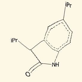 CC(C)c1ccc2c(c1)C(C(C)C)C(=O)N2